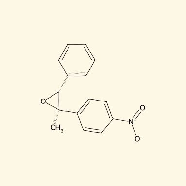 C[C@]1(c2ccc([N+](=O)[O-])cc2)O[C@@H]1c1ccccc1